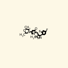 C[C@@H]1CN(c2cnn(Cc3c(-c4ccc(F)cc4F)nnn3C)c(=O)c2)C[C@H](C)O1